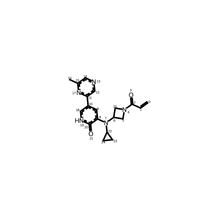 C=CC(=O)N1CC(N(c2cc(-c3cncc(C)n3)c[nH]c2=O)C2CC2)C1